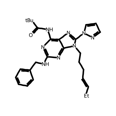 CCC=CCCCn1c(-n2cccn2)nc2c(NC(=O)C(C)(C)C)nc(NCc3ccccc3)nc21